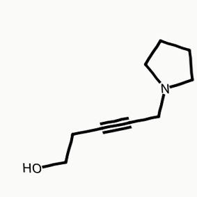 OCCC#CCN1CCCC1